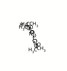 CC(C)OC(=O)N1CCC(COc2ccc(B3OC(C)(C)C(C)(C)O3)cn2)CC1